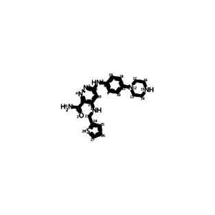 NC(=O)c1nnc(Nc2ccc(N3CCNCC3)cc2)cc1NCc1cccs1